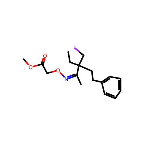 CCC(CI)(CCc1ccccc1)/C(C)=N\OCC(=O)OC